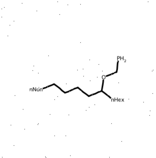 CCCCCCCCCCCCCC(CCCCCC)OCP